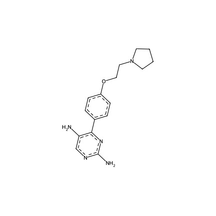 Nc1ncc(N)c(-c2ccc(OCCN3CCCC3)cc2)n1